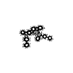 c1ccc(-c2ccc(-c3nc(-n4c5ccccc5c5ccc6c7cc8c9ccccc9n(-c9ccc(-c%10ccccc%10)cc9)c8cc7sc6c54)nc4ccccc34)cc2)cc1